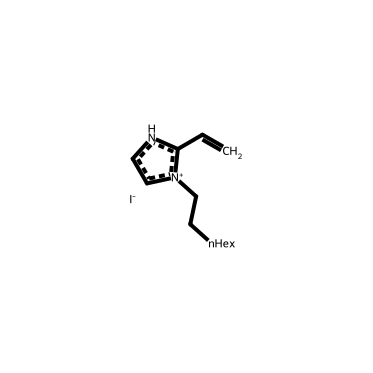 C=Cc1[nH]cc[n+]1CCCCCCCC.[I-]